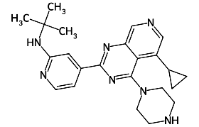 CC(C)(C)Nc1cc(-c2nc(N3CCNCC3)c3c(C4CC4)cncc3n2)ccn1